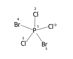 ClP(Cl)(Cl)(Br)Br